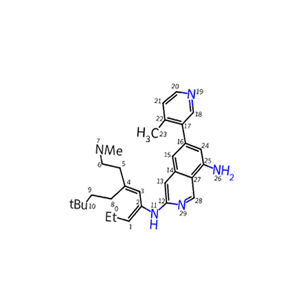 CC/C=C(\C=C(\CCNC)CCC(C)(C)C)Nc1cc2cc(-c3cnccc3C)cc(N)c2cn1